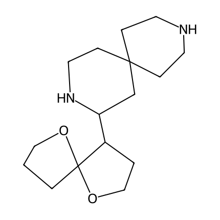 C1COC2(C1)OCCC2C1CC2(CCNCC2)CCN1